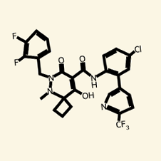 CN1N(Cc2cccc(F)c2F)C(=O)C(C(=O)Nc2ccc(Cl)cc2-c2ccc(C(F)(F)F)nc2)=C(O)C12CCC2